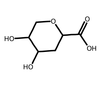 O=C(O)C1CC(O)C(O)CO1